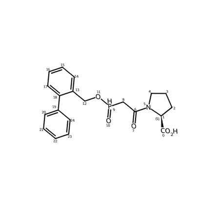 O=C(O)[C@@H]1CCCN1C(=O)C[PH](=O)OCc1ccccc1-c1ccccc1